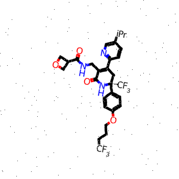 CC(C)c1ccc(C2=C(CNC(=O)C3COC3)C(=O)N[C@@](c3ccc(OCCCC(F)(F)F)cc3)(C(F)(F)F)C2)nc1